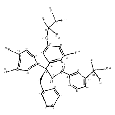 O=C(N[C@@](Cc1ccccc1)(c1cc(F)cc(OC(F)(F)C(F)F)c1)c1ccc(F)c(Cl)c1)c1cccc(C(F)(F)F)c1